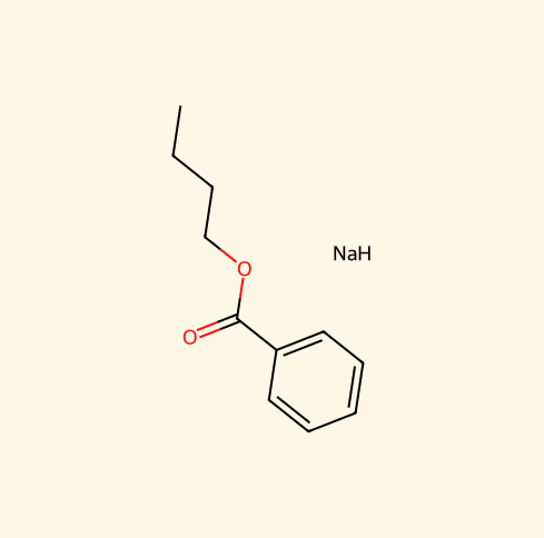 CCCCOC(=O)c1ccccc1.[NaH]